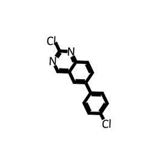 Clc1ccc(-c2ccc3nc(Cl)ncc3c2)cc1